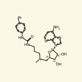 CC(C)c1ccc(NC(=O)NCCCN(C)C[C@H]2O[C@@H](n3cnc4c(N)ccnc43)[C@H](O)[C@@H]2O)cc1